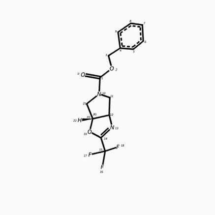 O=C(OCc1ccccc1)N1CC2N=C(C(F)(F)F)O[C@@H]2C1